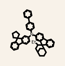 CCC1CC2CCCC(C2)C12c1ccccc1-c1ccc(N(c3ccc(-c4ccccc4)cc3)c3ccc4c(c3)C3(CCCC3)c3ccccc3-4)cc12